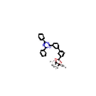 CC1(C)OB(c2cccc(-c3cccc(C4=NC(c5ccccc5)=NC(c5ccccc5)N4)c3)c2)OC1(C)C